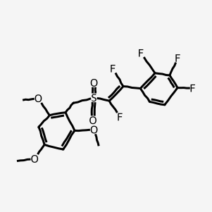 COc1cc(OC)c(CS(=O)(=O)/C(F)=C(\F)c2ccc(F)c(F)c2F)c(OC)c1